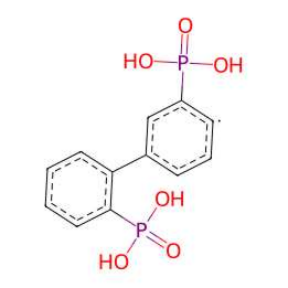 O=P(O)(O)c1[c]ccc(-c2ccccc2P(=O)(O)O)c1